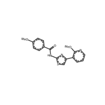 COc1ccc(C(=O)Nc2nc(-c3cccnc3OC)cs2)cc1